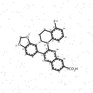 O=C(O)c1ccc2nc(-c3ccc4c(c3)OCO4)c(N3CCCc4c(F)cccc43)nc2c1